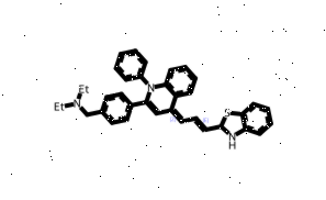 CCN(CC)Cc1ccc(C2=C/C(=C/C=C/C3Nc4ccccc4S3)c3ccccc3N2c2ccccc2)cc1